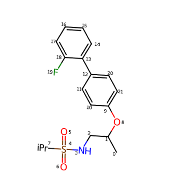 CC(CNS(=O)(=O)C(C)C)Oc1ccc(-c2ccccc2F)cc1